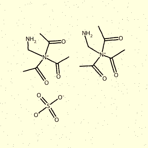 CC(=O)[N+](CN)(C(C)=O)C(C)=O.CC(=O)[N+](CN)(C(C)=O)C(C)=O.O=S(=O)([O-])[O-]